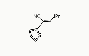 CC(C)/C=C(\C#N)c1cccs1